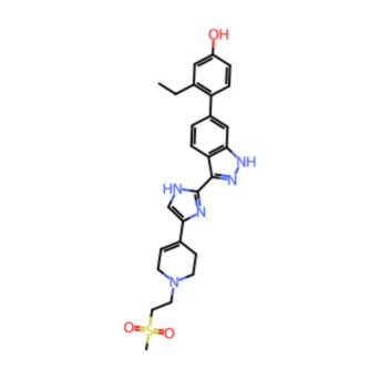 CCc1cc(O)ccc1-c1ccc2c(-c3nc(C4=CCN(CCS(C)(=O)=O)CC4)c[nH]3)n[nH]c2c1